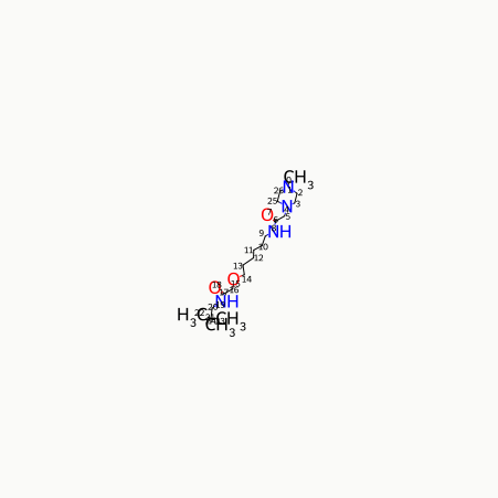 CN1CCN(CC(=O)NCCCCCCOCC(=O)NCC(C)(C)C)CC1